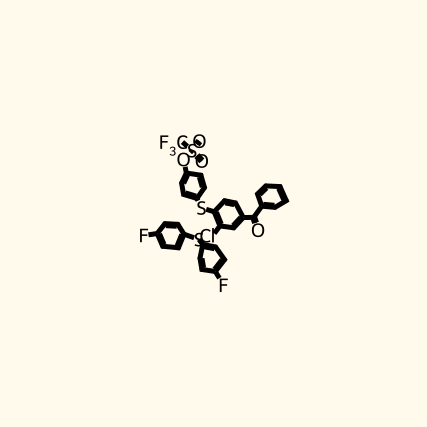 Fc1ccc(Sc2ccc(F)cc2)cc1.O=C(c1ccccc1)c1ccc(Sc2ccc(OS(=O)(=O)C(F)(F)F)cc2)c(Cl)c1